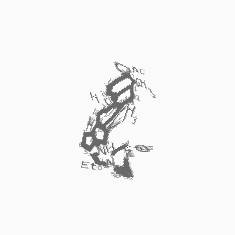 CCC(CNC12CCC[C@@H]1C1CCC3C4(C)CCC(OC(C)=O)C(C)C4CCC3(C)C1CC2)N1CC[S+]([O-])CC1